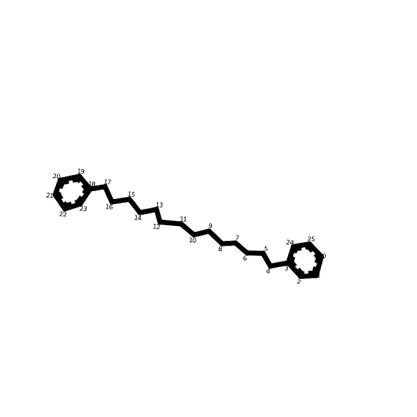 c1ccc(CCCCCCCCCCCCCCc2ccccc2)cc1